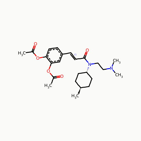 CC(=O)Oc1ccc(/C=C/C(=O)N(CCN(C)C)[C@H]2CC[C@H](C)CC2)cc1OC(C)=O